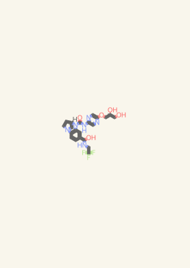 O=C(Nc1cnc(OC[C@H](O)CO)cn1)N1c2cc(C(O)NCC(F)(F)F)ccc2N2CC[C@H]1C2